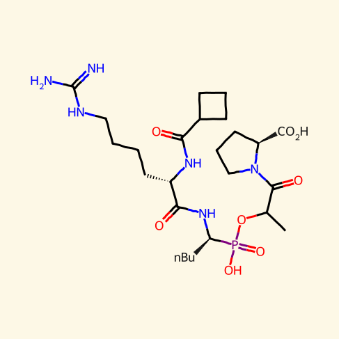 CCCC[C@@H](NC(=O)[C@H](CCCCNC(=N)N)NC(=O)C1CCC1)P(=O)(O)OC(C)C(=O)N1CCC[C@H]1C(=O)O